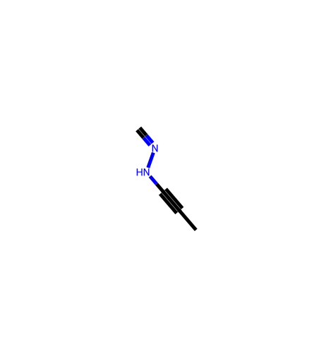 C=NNC#CC